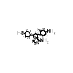 Nc1ccc(-c2cc(C3CCC(O)CC3)n3ncnc(N)c23)c(F)c1